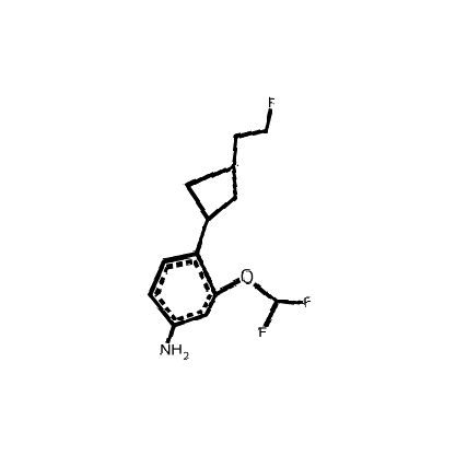 Nc1ccc(C2C[C](CCF)C2)c(OC(F)F)c1